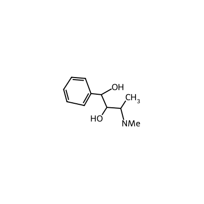 CNC(C)C(O)C(O)c1ccccc1